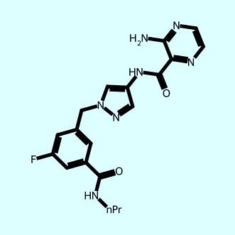 CCCNC(=O)c1cc(F)cc(Cn2cc(NC(=O)c3nccnc3N)cn2)c1